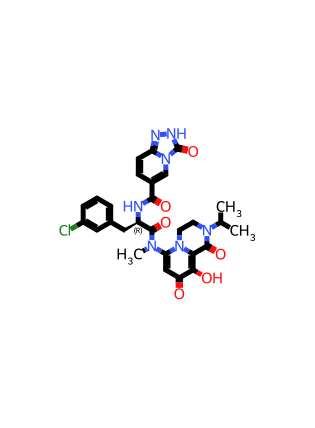 CC(C)N1CCn2c(N(C)C(=O)[C@@H](Cc3cccc(Cl)c3)NC(=O)c3ccc4n[nH]c(=O)n4c3)cc(=O)c(O)c2C1=O